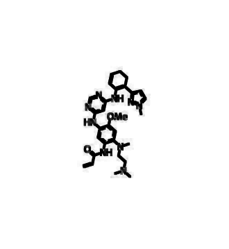 C=CC(=O)Nc1cc(Nc2cc(NC3=C(c4ccn(C)n4)CCC=C3)ncn2)c(OC)cc1N(C)CCN(C)C